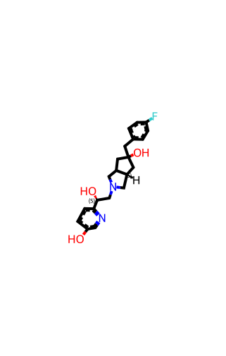 Oc1ccc([C@@H](O)CN2CC3CC(O)(Cc4ccc(F)cc4)C[C@@H]3C2)nc1